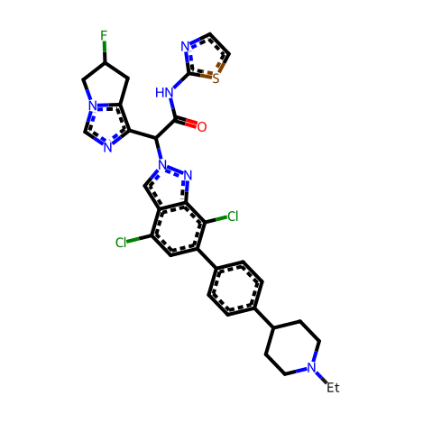 CCN1CCC(c2ccc(-c3cc(Cl)c4cn(C(C(=O)Nc5nccs5)c5ncn6c5CC(F)C6)nc4c3Cl)cc2)CC1